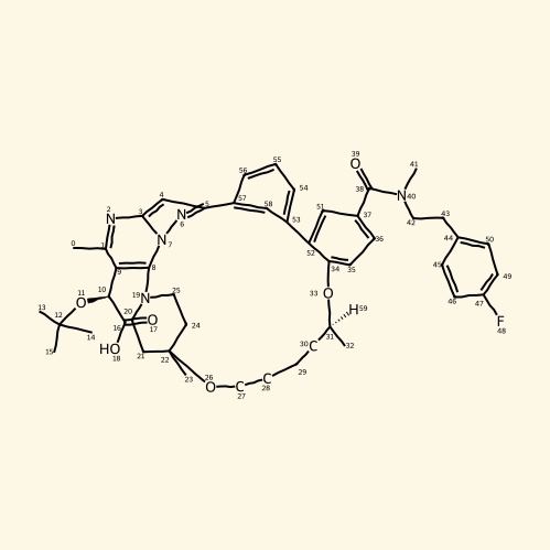 Cc1nc2cc3nn2c(c1[C@H](OC(C)(C)C)C(=O)O)N1CCC(C)(CC1)OCCCC[C@H](C)Oc1ccc(C(=O)N(C)CCc2ccc(F)cc2)cc1-c1cccc-3c1